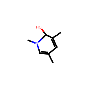 CC1=CN(C)C(O)C(C)=C1